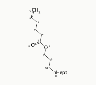 C=CCCCC(=O)OCCCCCCCCCC